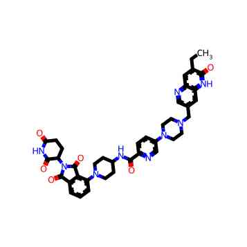 CCc1cc2ncc(CN3CCN(c4ccc(C(=O)NC5CCN(c6cccc7c6C(=O)N(C6CCC(=O)NC6=O)C7=O)CC5)nc4)CC3)cc2[nH]c1=O